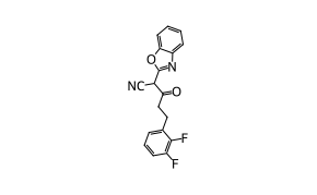 N#CC(C(=O)CCc1cccc(F)c1F)c1nc2ccccc2o1